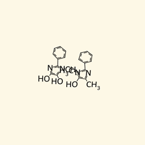 Cc1nc(-c2ccccc2)n(C)c1O.Cn1c(-c2ccccc2)nc(O)c1O